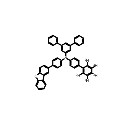 [2H]c1c([2H])c([2H])c(-c2ccc(N(c3ccc(-c4ccc5oc6ccccc6c5c4)cc3)c3cc(-c4ccccc4)cc(-c4ccccc4)c3)cc2)c([2H])c1[2H]